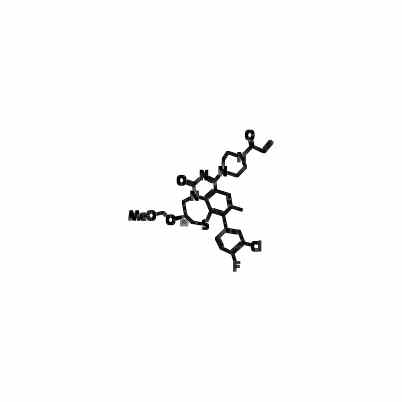 C=CC(=O)N1CCN(c2nc(=O)n3c4c(c(-c5ccc(F)c(Cl)c5)c(C)cc24)SC[C@@H](OCOC)C3)CC1